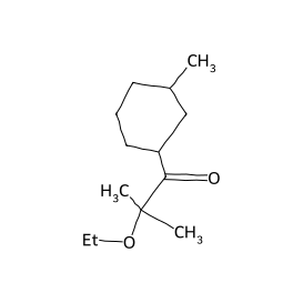 CCOC(C)(C)C(=O)C1CCCC(C)C1